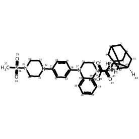 COC(=O)N[C@]12CC3CC(C1)[C@@H](NC(=O)N1CCN(c4ccc(N5CCN(S(C)(=O)=O)CC5)cc4)c4ccccc41)[C@@H](C3)C2